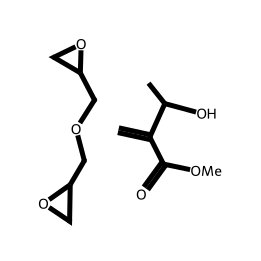 C(OCC1CO1)C1CO1.C=C(C(=O)OC)C(C)O